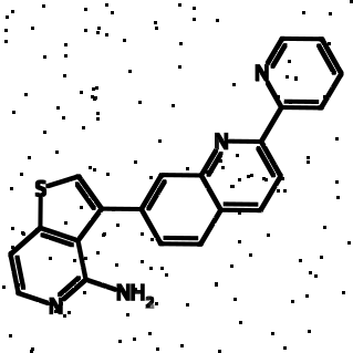 Nc1nccc2scc(-c3ccc4ccc(-c5ccccn5)nc4c3)c12